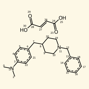 CN(C)c1ccc(CC2CCN(Cc3ccccc3)CC2)cc1.O=C(O)C=CC(=O)O